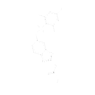 COC(=O)Nc1nc2cc(OS(=O)(=O)c3c(F)cc(F)cc3F)ccc2[nH]1